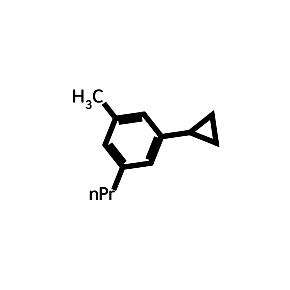 CCCc1cc(C)cc(C2CC2)c1